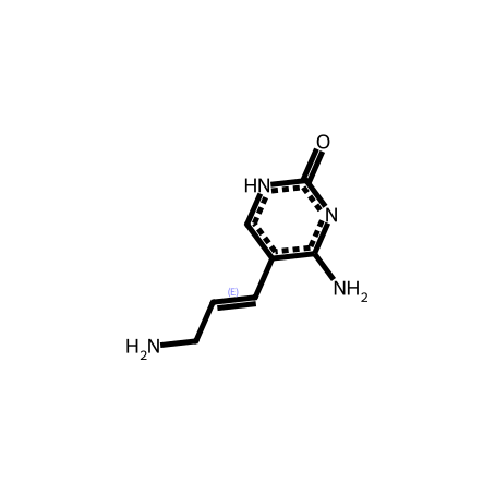 NC/C=C/c1c[nH]c(=O)nc1N